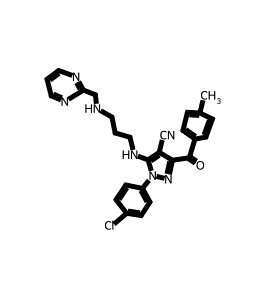 Cc1ccc(C(=O)c2nn(-c3ccc(Cl)cc3)c(NCCCNCc3ncccn3)c2C#N)cc1